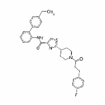 CCc1ccc(-c2ccccc2NC(=O)c2csc(C3CCN(C(=O)CCc4ccc(F)cc4)CC3)n2)cc1